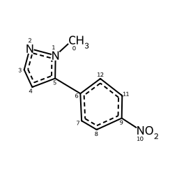 Cn1nccc1-c1ccc([N+](=O)[O-])cc1